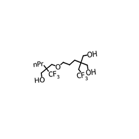 CCCC(CO)(COCCCC(CO)(CO)CC(F)(F)F)C(F)(F)F